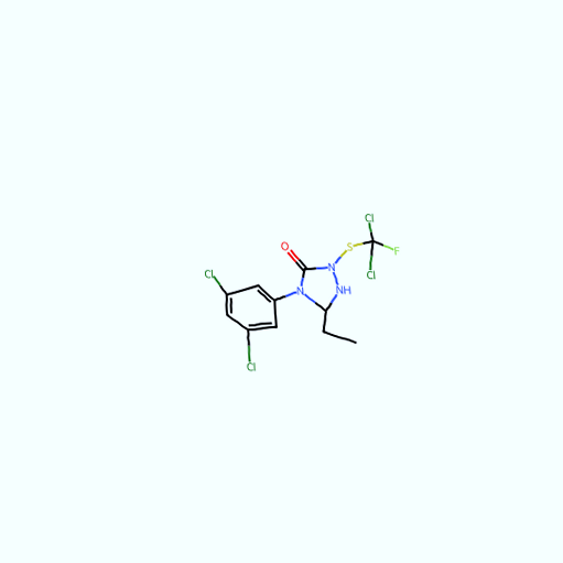 CCC1NN(SC(F)(Cl)Cl)C(=O)N1c1cc(Cl)cc(Cl)c1